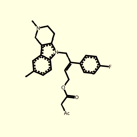 CC(=O)CC(=O)OCC=C(Cn1c2c(c3cc(C)ccc31)CN(C)CC2)c1ccc(F)cc1